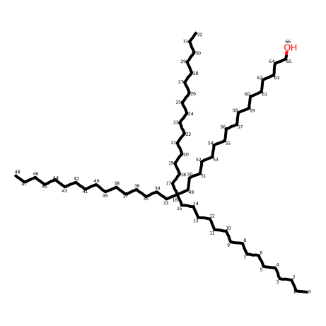 CCCCCCCCCCCCCCCCC(CCCCCCCCCCCCCCCC)(CCCCCCCCCCCCCCCC)CCCCCCCCCCCCCCCCCO